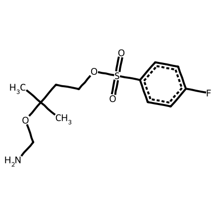 CC(C)(CCOS(=O)(=O)c1ccc(F)cc1)OCN